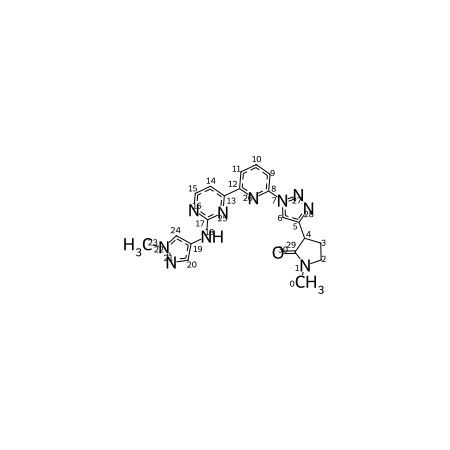 CN1CCC(c2cn(-c3cccc(-c4ccnc(Nc5cnn(C)c5)n4)n3)nn2)C1=O